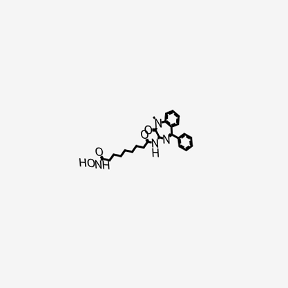 CN1C(=O)C(NC(=O)CCCCCCCC(=O)NO)N=C(c2ccccc2)c2ccccc21